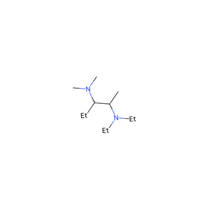 CC[C](C(C)N(CC)CC)N(C)C